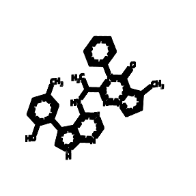 Cc1ccc(O)c(-c2c[nH]c3ncnc(NC(C)c4nn5ccc(C)c5c(=O)n4-c4ccccc4)c23)c1